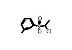 Cc1cccc(S(=O)(=O)C(C)Cl)c1